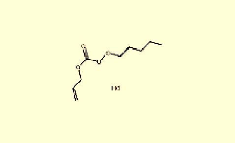 C=CCOC(=O)OOCCCCC.Cl